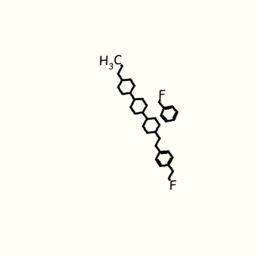 CCCC1CCC(C2CCC(C3CCC(CCc4ccc(CCF)cc4)CC3)CC2)CC1.FCc1ccccc1